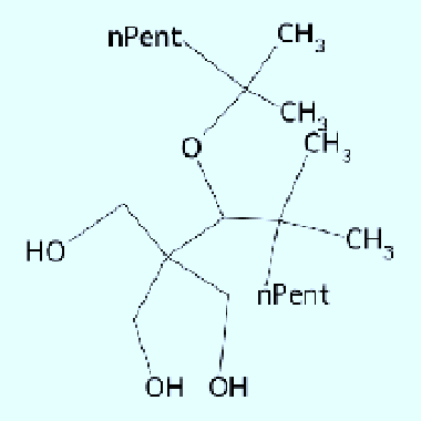 CCCCCC(C)(C)OC(C(C)(C)CCCCC)C(CO)(CO)CO